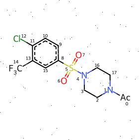 CC(=O)N1CCN(S(=O)(=O)c2ccc(Cl)c(C(F)(F)F)c2)CC1